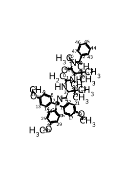 C=C(N[C@H](CN=P(c1ccc(OC)cc1)(c1ccc(OC)cc1)c1ccc(OC)cc1)C(C)(C)C)N[C@@H](C(=O)N(C)Cc1ccccc1)C(C)(C)C